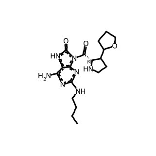 CCCCNc1nc(N)c2[nH]c(=O)n(C(=O)[C@H]3NCCC3C3CCCO3)c2n1